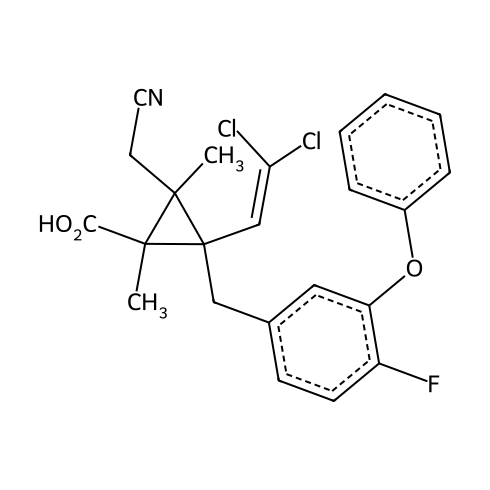 CC1(CC#N)C(C=C(Cl)Cl)(Cc2ccc(F)c(Oc3ccccc3)c2)C1(C)C(=O)O